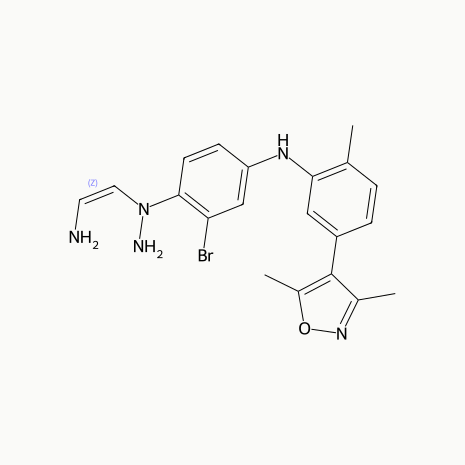 Cc1ccc(-c2c(C)noc2C)cc1Nc1ccc(N(N)/C=C\N)c(Br)c1